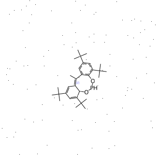 C/C1=C2\C=C(C(C)(C)C)C=C(C(C)(C)C)C2OPOc2c1cc(C(C)(C)C)cc2C(C)(C)C